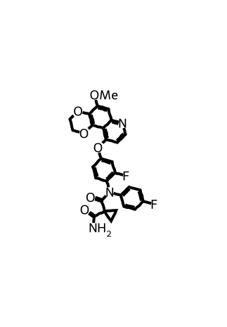 COc1cc2nccc(Oc3ccc(N(C(=O)C4(C(N)=O)CC4)c4ccc(F)cc4)c(F)c3)c2c2c1OCCO2